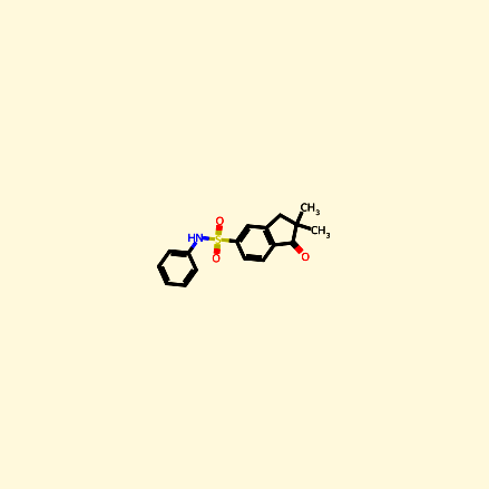 CC1(C)Cc2cc(S(=O)(=O)Nc3ccccc3)ccc2C1=O